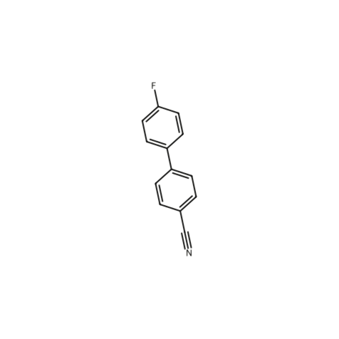 N#Cc1ccc(-c2ccc(F)cc2)cc1